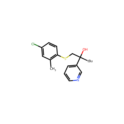 Cc1cc(Cl)ccc1SCC(O)(c1cccnc1)C(C)(C)C